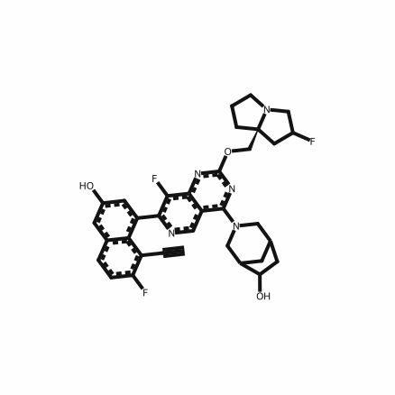 C#Cc1c(F)ccc2cc(O)cc(-c3ncc4c(N5CC6CC(O)C(C6)C5)nc(OC[C@@]56CCCN5CC(F)C6)nc4c3F)c12